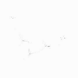 CC(=O)[O-].CC(=O)[O-].CC(=O)[O-].O.O.O.[Na+].[Na+].[Na+]